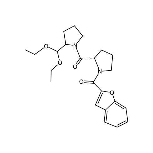 CCOC(OCC)C1CCCN1C(=O)[C@@H]1CCCN1C(=O)c1cc2ccccc2o1